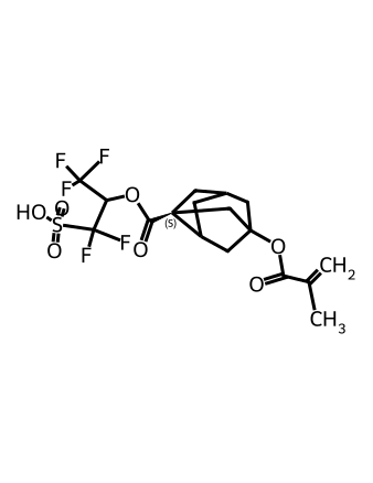 C=C(C)C(=O)OC12CC3CC(C1)[C@](C(=O)OC(C(F)(F)F)C(F)(F)S(=O)(=O)O)(C3)C2